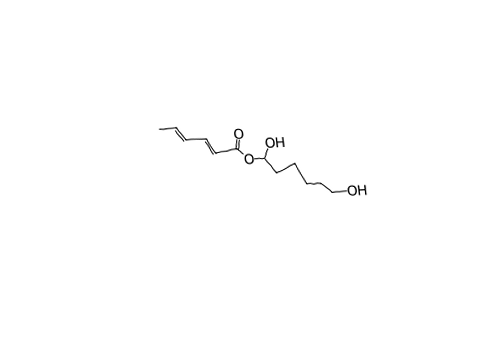 C/C=C/C=C/C(=O)OC(O)CCCCCO